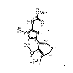 CCOC1=C(OCC)C(c2cn(CC)c(NC(=O)OC)n2)=CCC1